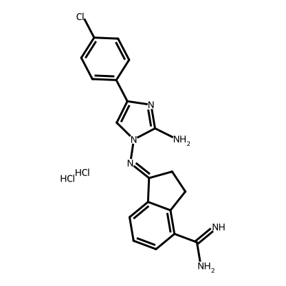 Cl.Cl.N=C(N)c1cccc2c1CCC2=Nn1cc(-c2ccc(Cl)cc2)nc1N